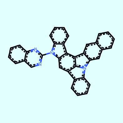 c1ccc2cc3c(cc2c1)c1c2c4ccccc4n(-c4ncc5ccccc5n4)c2cc2c4ccccc4n3c21